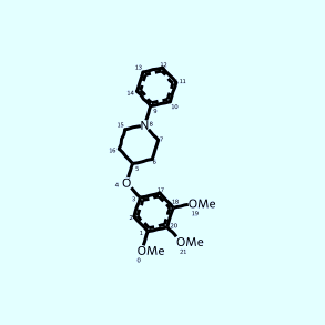 COc1cc(OC2CCN(c3c[c]ccc3)CC2)cc(OC)c1OC